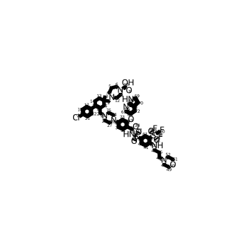 CC1(CN2CCCN(C(=O)O)CC2)CCC(c2ccc(Cl)cc2)=C(CN2CCN(c3ccc(C(=O)NS(=O)(=O)c4ccc(NCCCN5CCOCC5)c(S(=O)(=O)C(F)(F)F)c4)c(Oc4cnc5[nH]ccc5c4)c3)CC2)C1